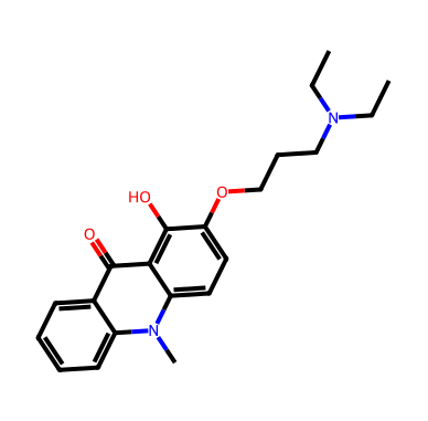 CCN(CC)CCCOc1ccc2c(c1O)c(=O)c1ccccc1n2C